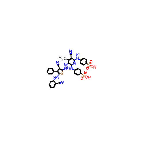 Cc1c(C#N)c(Nc2ccc(S(=O)(=O)O)cc2)nc(Nc2ccc(S(=O)(=O)O)cc2)c1N=Nc1sc(N=Nc2ccccc2C#N)c(-c2ccccc2)c1C#N